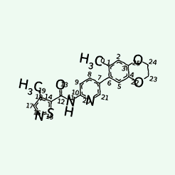 Cc1cc2c(cc1-c1ccc(NC(=O)c3sncc3C)nc1)OCCO2